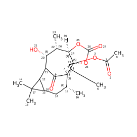 CC(=O)OC1C(C)=C[C@@]23C(=O)C(C4C(C[C@H]2C)C4(C)C)[C@H](O)[C@H](C)[C@H]2OC(=O)O[C@]123